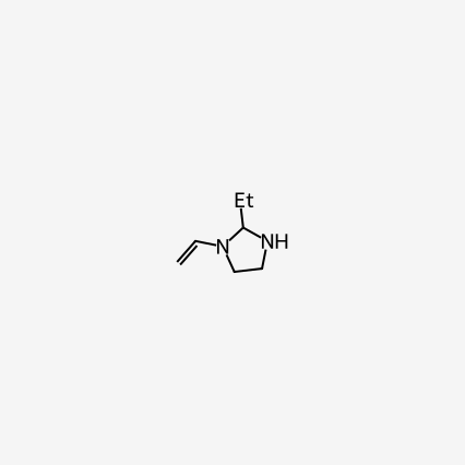 C=CN1CCNC1CC